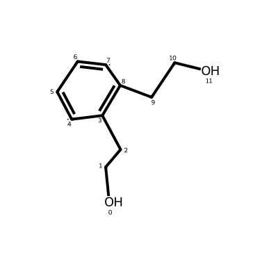 OCCc1[c]cc[c]c1CCO